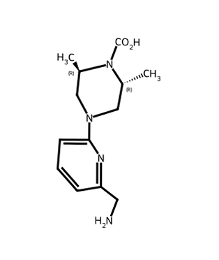 C[C@@H]1CN(c2cccc(CN)n2)C[C@@H](C)N1C(=O)O